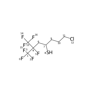 FC(F)(F)C(F)(CC(S)CCCCl)C(F)(F)F